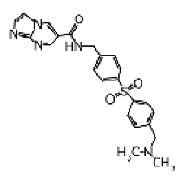 CN(C)Cc1ccc(S(=O)(=O)c2ccc(CNC(=O)c3cnc4nccn4c3)cc2)cc1